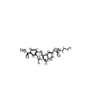 CCCCNC(=O)Cc1ccc2c(c1)c(Cc1ccc(C(=O)O)cc1OC)cn2C